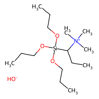 CCCO[Si](OCCC)(OCCC)C(CC)[N+](C)(C)C.[OH-]